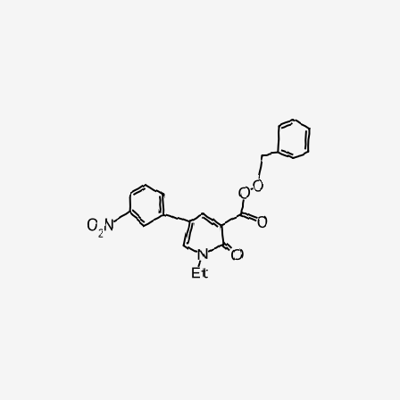 CCn1cc(-c2cccc([N+](=O)[O-])c2)cc(C(=O)OOCc2ccccc2)c1=O